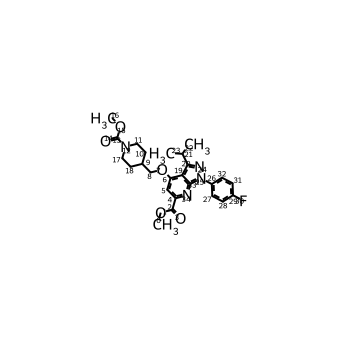 COC(=O)c1cc(OCC2CCN(C(=O)OC)CC2)c2c(C(C)C)nn(-c3ccc(F)cc3)c2n1